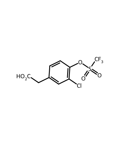 O=C(O)Cc1ccc(OS(=O)(=O)C(F)(F)F)c(Cl)c1